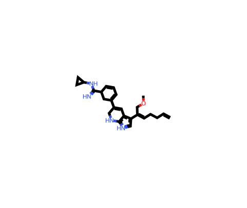 C=CCC/C=C(\COC)c1c[nH]c2c1C=C(C1=CC=CC(C(=N)NC3CC3)C1)CN2